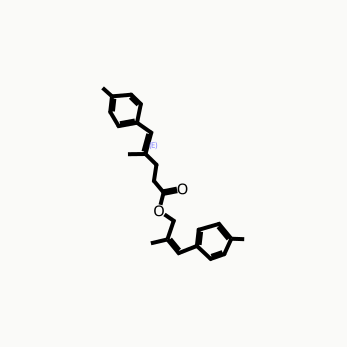 CC(=Cc1ccc(C)cc1)COC(=O)CC/C(C)=C/c1ccc(C)cc1